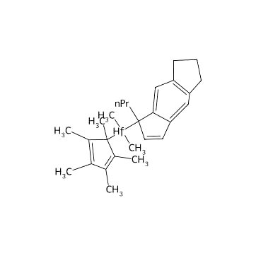 CCC[C]1([Hf]([CH3])([CH3])[C]2(C)C(C)=C(C)C(C)=C2C)C=Cc2cc3c(cc21)CCC3